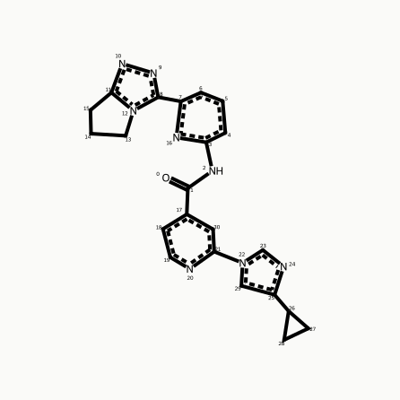 O=C(Nc1cccc(-c2nnc3n2CCC3)n1)c1ccnc(-n2cnc(C3CC3)c2)c1